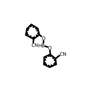 N#Cc1ccccc1OBOc1ccccc1C#N